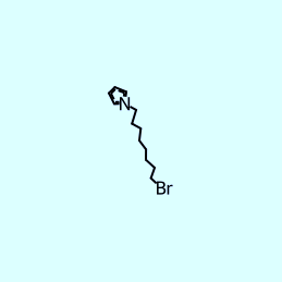 BrCCCCCCCCn1cccc1